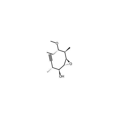 C#C[C@@H](C)[C@H](O)[C@H]1O[C@@H]1[C@H](C)[C@H](CC)OC